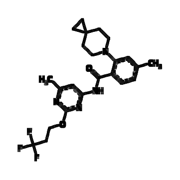 Cc1ccc(C(=O)Nc2cc(C)nc(OCCC(F)(F)F)n2)c(N2CCC3(CC2)CC3)c1